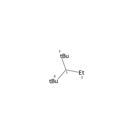 [CH2]C(C)(C)C(CC)C(C)(C)C